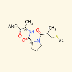 COC(=O)[C@@H](C)NC(=O)[C@@H]1CCCN1C(=O)C(C)CSC(C)=O